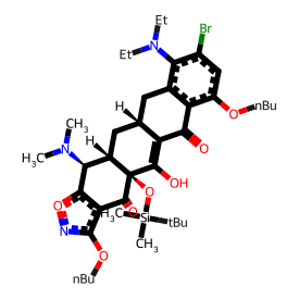 CCCCOc1cc(Br)c(N(CC)CC)c2c1C(=O)C1=C(O)[C@]3(O[Si](C)(C)C(C)(C)C)C(=O)c4c(OCCCC)noc4[C@@H](N(C)C)[C@@H]3C[C@@H]1C2